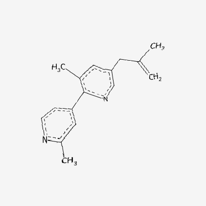 C=C(C)Cc1cnc(-c2ccnc(C)c2)c(C)c1